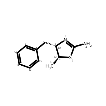 C[C@@H]1SC(N)=N[C@H]1Cc1ccccc1